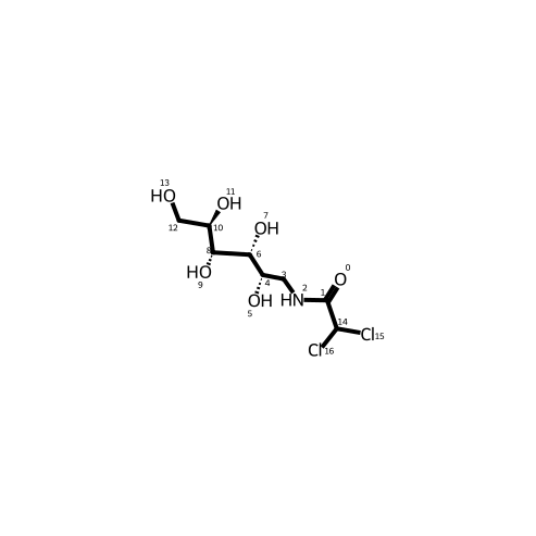 O=C(NC[C@H](O)[C@@H](O)[C@H](O)[C@H](O)CO)C(Cl)Cl